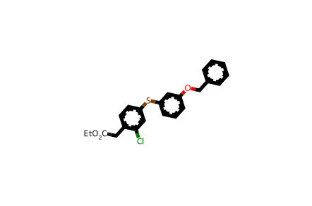 CCOC(=O)Cc1ccc(Sc2cccc(OCc3ccccc3)c2)cc1Cl